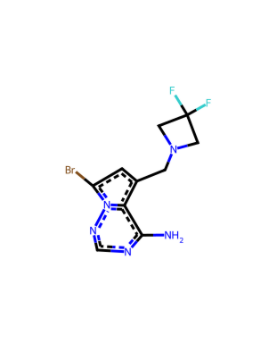 Nc1ncnn2c(Br)cc(CN3CC(F)(F)C3)c12